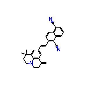 C=C1CCN2CCC(C)(C)c3cc(C=Cc4ccc5c(C#N)cccc5c4C#N)cc1c32